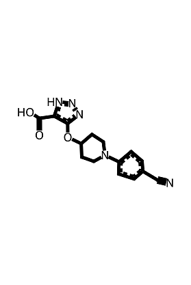 N#Cc1ccc(N2CCC(Oc3nn[nH]c3C(=O)O)CC2)cc1